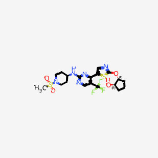 CS(=O)(=O)N1CCC(Nc2ncc(C(F)(F)F)c(-c3cnc(O[C@@H]4CCC[C@H]4O)s3)n2)CC1